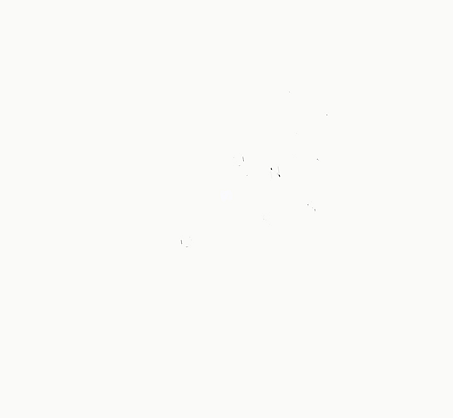 O=C1/C(=C/c2ccc(-c3ccccc3)o2)SC(=S)N1C1C2CC3CC(C2)CC1C3